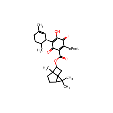 CCCCCC1=C(C(=O)OC2CC34C(CCC23C)C4(C)C)C(=O)C([C@@H]2C=C(C)CCC2C)=C(O)C1=O